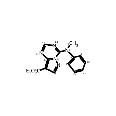 CCOC(=O)c1cnn2c(N(C)c3ccccc3)ncnc12